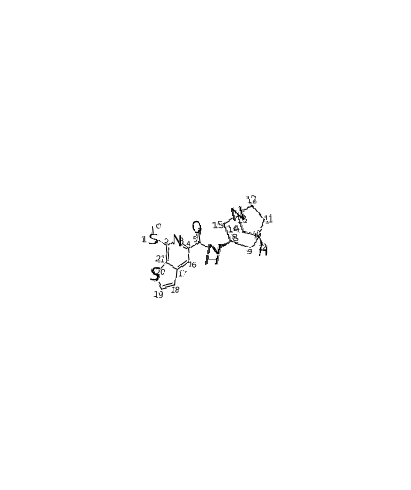 CSc1nc(C(=O)N[C@@H]2C[C@H]3CCN(C3)C2)cc2ccsc12